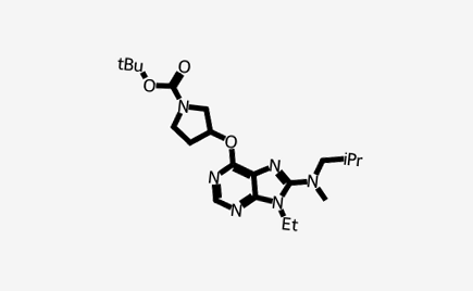 CCn1c(N(C)CC(C)C)nc2c(OC3CCN(C(=O)OC(C)(C)C)C3)ncnc21